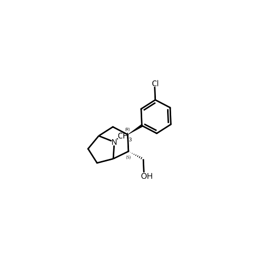 CN1C2CCC1[C@@H](CO)[C@H](c1cccc(Cl)c1)C2